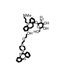 CNCCCN1c2ccccc2CCc2ccccc21.N[C@@H]1[C@@H](O)[C@H](O)[C@@H](CO)O[C@H]1O.OCCOCCN1CCN(C2=Nc3ccccc3Sc3ccccc32)CC1